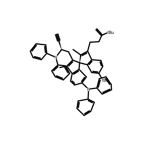 C#C[C@@H](CC1=C(C)c2ccc(N(c3ccccc3)c3ccccc3)cc2[C@]12C(C)=C(CCC(=C)C(C)(C)C)c1ccc(C(C)(C)C)cc12)N(c1ccccc1)c1ccccc1